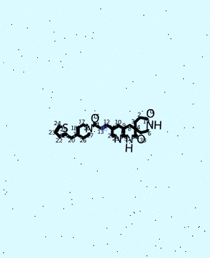 O=C1CCC2(CCN1)Cc1cc(/C=C/C(=O)N3CC=C(Cc4cccs4)CC3)cnc1NC2=O